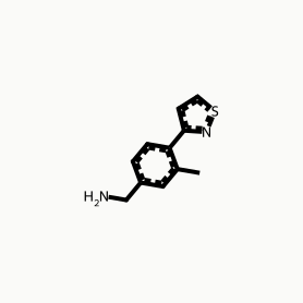 Cc1cc(CN)ccc1-c1ccsn1